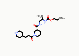 COCCOC(=O)NC(CNC(=O)[C@@H]1CCCN(C(=O)CCC2CCNCC2)C1)C(=O)O